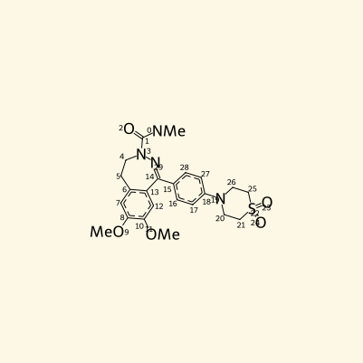 CNC(=O)N1CCc2cc(OC)c(OC)cc2C(c2ccc(N3CCS(=O)(=O)CC3)cc2)=N1